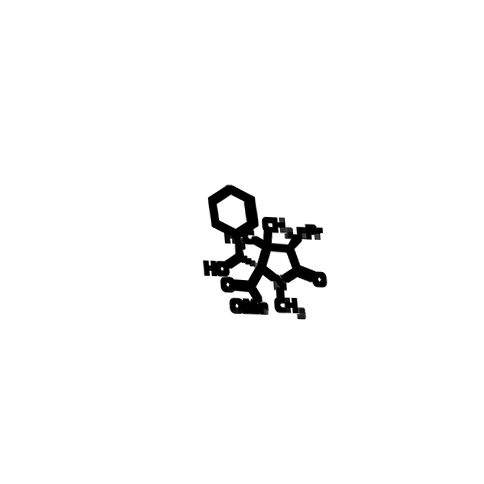 CCC[C@H]1C(=O)N(C)[C@](C(=O)OC)(C(O)[C@@H]2C=CCCC2)C1(C)C